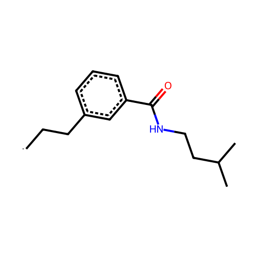 [CH2]CCc1cccc(C(=O)NCCC(C)C)c1